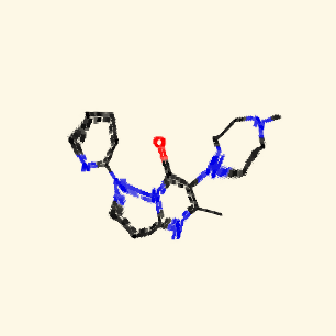 Cc1nc2ccn(-c3ccccn3)n2c(=O)c1N1CCN(C)CC1